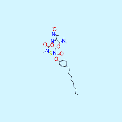 CCCCCCCCCc1ccc(OC(=O)N(C)SN(C)C(=O)ON=C(C(=O)N(C)C)C(C)=NOC)cc1